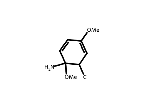 COC1=CC(Cl)C(N)(OC)C=C1